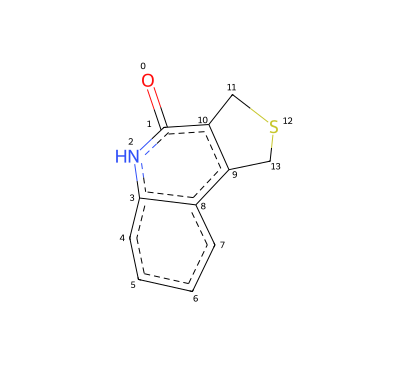 O=c1[nH]c2ccccc2c2c1CSC2